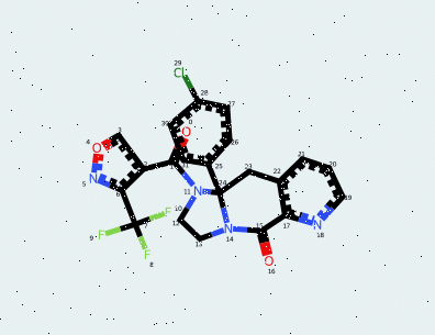 O=C(c1conc1C(F)(F)F)N1CCN2C(=O)c3ncccc3CC12c1ccc(Cl)cc1